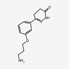 NCCCOc1cccc(C2=NNC(=O)CC2)c1